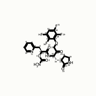 NC(=O)O[C@@H](Cc1ccccn1)C(=O)N[C@@H](C[C@@H]1CCNC1=O)C(=O)COc1c(F)c(F)cc(F)c1F